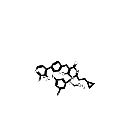 CC[C@@H](c1cc(F)cc(F)c1)n1c(CCC2CC2)nc(=O)c(Cc2ccc(-c3ccnc(F)c3C)cc2)c1O